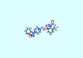 CC1(C)CC(=O)Nc2c(OCCN3CCN(c4noc5ccccc45)CC3)cccc21